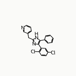 Clc1ccc(Cl)c(-c2nc(Cc3cccnc3)[nH]c2-c2ccccc2)c1